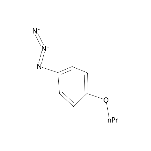 CCCOc1ccc(N=[N+]=[N-])cc1